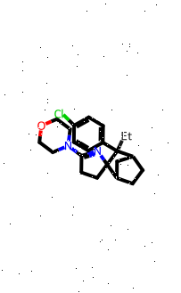 CCC1(c2ccc(Cl)cc2)C2CCC(C2)C12CCC(N1CCOCC1)=N2